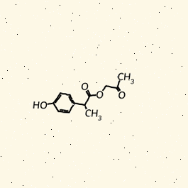 CC(=O)COC(=O)[C@@H](C)c1ccc(O)cc1